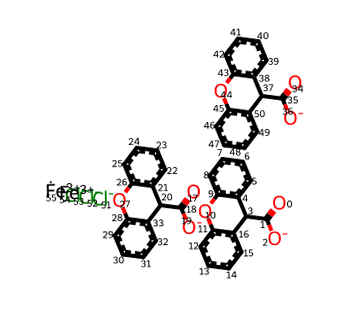 O=C([O-])C1c2ccccc2Oc2ccccc21.O=C([O-])C1c2ccccc2Oc2ccccc21.O=C([O-])C1c2ccccc2Oc2ccccc21.[Cl-].[Cl-].[Cl-].[Fe+3].[Fe+3]